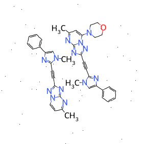 Cc1cc(N2CCOCC2)n2nc(C#Cc3nc(-c4ccccc4)cn3C)nc2n1.Cc1ccn2nc(C#Cc3nc(-c4ccccc4)cn3C)nc2n1